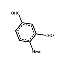 CNc1ccc(C=O)cc1C=O